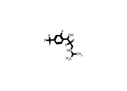 CC(C)NCC(F)(F)C(O)c1ccc(C(F)(F)F)cc1F